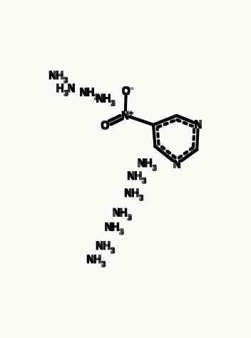 N.N.N.N.N.N.N.N.N.N.N.O=[N+]([O-])c1cncnc1